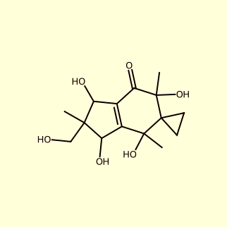 CC1(CO)C(O)C2=C(C1O)C(C)(O)C1(CC1)C(C)(O)C2=O